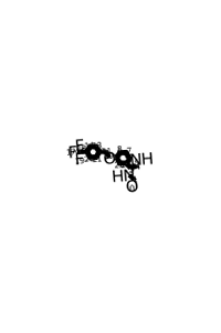 O=CNc1c[nH]c2ccc(OCc3ccc(C(F)(F)F)cc3)cc12